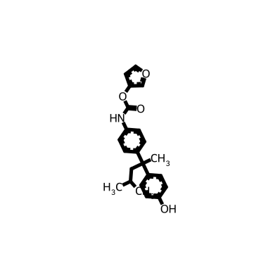 CC(C)CC(C)(c1ccc(O)cc1)c1ccc(NC(=O)Oc2ccoc2)cc1